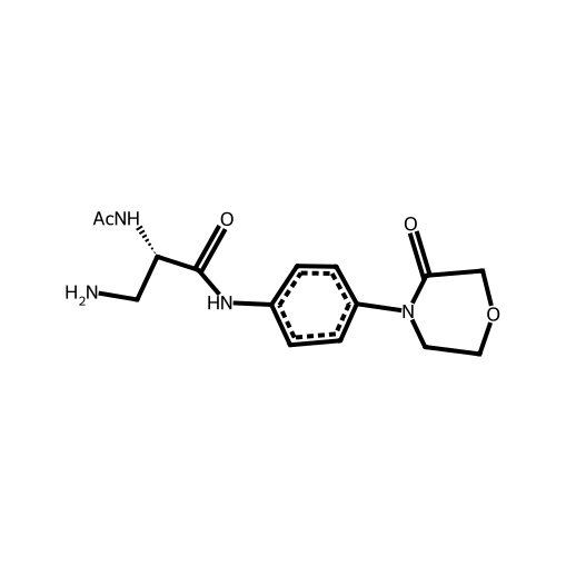 CC(=O)N[C@@H](CN)C(=O)Nc1ccc(N2CCOCC2=O)cc1